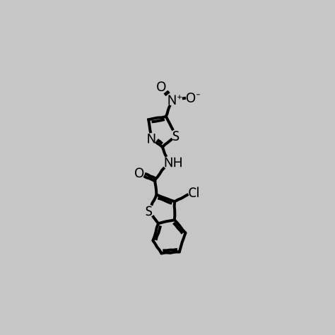 O=C(Nc1ncc([N+](=O)[O-])s1)c1sc2ccccc2c1Cl